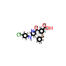 CN(c1ccc(Cl)cc1)c1ccc(C(=O)c2cc(Sc3ccccc3)cc(C(=O)O)c2)nc1